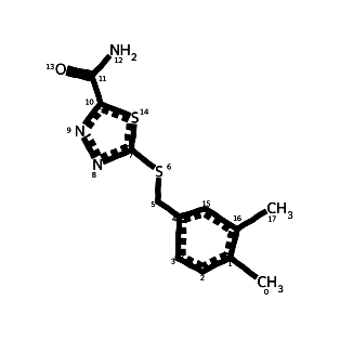 Cc1ccc(CSc2nnc(C(N)=O)s2)cc1C